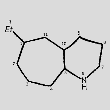 CCC1CCCC2NCCCC2C1